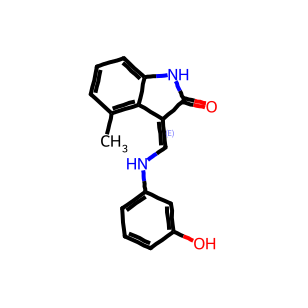 Cc1cccc2c1/C(=C\Nc1cccc(O)c1)C(=O)N2